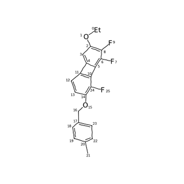 CCOc1cc2c(c(F)c1F)-c1c-2ccc(OCc2ccc(C)cc2)c1F